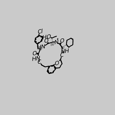 CC(O)[C@H]1C(=O)N[C@H](Cc2ccc(Cl)cc2)C(=O)NCCCc2cccc3c2OC(CC3)CN[C@@H](C2CCCCC2)C(=O)N1C